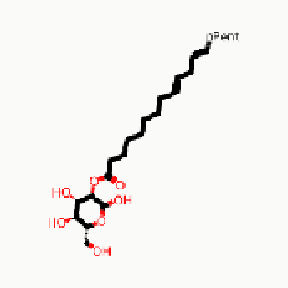 CCCCCC=CCC=CCCCCCCCC(=O)O[C@H]1C(O)O[C@H](CO)[C@@H](O)[C@@H]1O